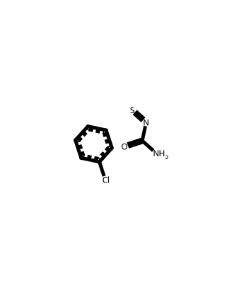 Clc1ccccc1.NC(=O)N=S